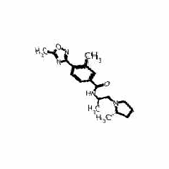 Cc1nc(-c2ccc(C(=O)N[C@H](C)CN3CCC[C@@H]3C)cc2C)no1